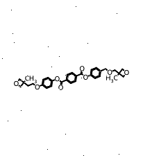 CC1(CCOc2ccc(OC(=O)c3ccc(C(=O)Oc4ccc(COCC5(C)COC5)cc4)cc3)cc2)COC1